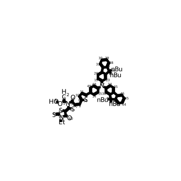 C=C(OO)n1c(=O)/c(=C\c2ccc(-c3ccc(N(c4ccc5c(c4)C(CCCC)(CCCC)c4ccccc4-5)c4ccc5c(c4)C(CCCC)(CCCC)c4ccccc4-5)cc3)s2)s/c1=C1/SC(=S)N(CC)C1=O